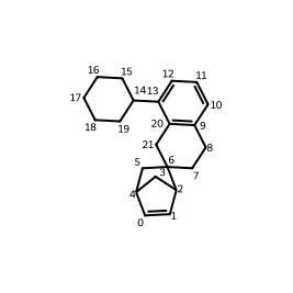 C1=CC2CC1CC21CCc2cccc(C3CCCCC3)c2C1